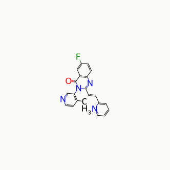 Cc1ccncc1-n1c(C=Cc2ccccn2)nc2ccc(F)cc2c1=O